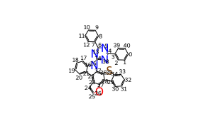 c1ccc(-c2nc(-c3ccccc3)nc(-n3c4ccccc4c4c5ccoc5c5c6ccccc6sc5c43)n2)cc1